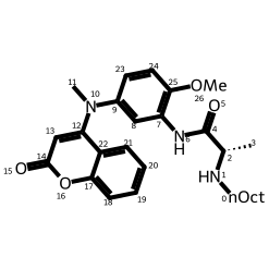 CCCCCCCCN[C@@H](C)C(=O)Nc1cc(N(C)c2cc(=O)oc3ccccc23)ccc1OC